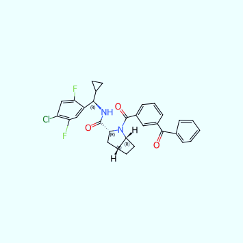 O=C(c1ccccc1)c1cccc(C(=O)N2[C@@H](C(=O)N[C@@H](c3cc(F)c(Cl)cc3F)C3CC3)C[C@H]3CC[C@H]32)c1